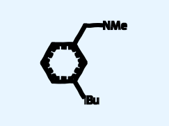 CCC(C)c1cccc(CNC)c1